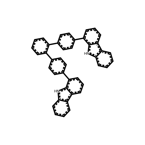 c1ccc(-c2ccc(-c3cccc4c3[nH]c3ccccc34)cc2)c(-c2ccc(-c3cccc4c3[nH]c3ccccc34)cc2)c1